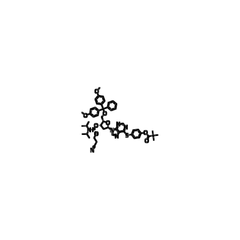 COc1ccc(C(OC[C@H]2O[C@@H](n3cnc4c(Sc5ccc(OC(=O)C(C)(C)C)cc5)ncnc43)C[C@@H]2OP(OCCC#N)N(C(C)C)C(C)C)(c2ccccc2)c2ccc(OC)cc2)cc1